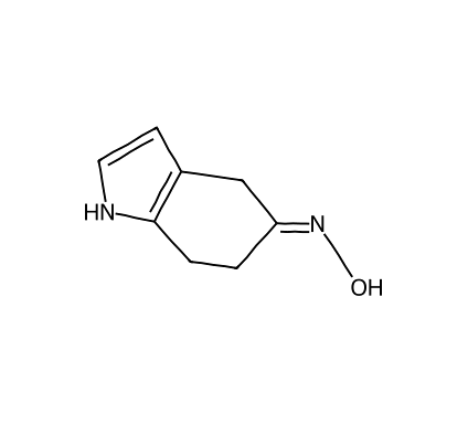 O/N=C1\CCc2[nH]ccc2C1